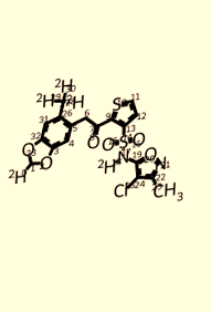 [2H]C1Oc2cc(CC(=O)c3sccc3S(=O)(=O)N([2H])c3onc(C)c3Cl)c(C([2H])([2H])[2H])cc2O1